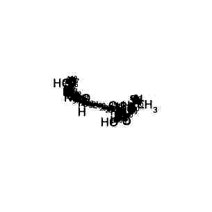 Cc1ncsc1-c1ccc(CNC(=O)[C@H]2C[C@H](O)CN2C(=O)C(NC(=O)CCCCCCCCCC(=O)NC2CCN(c3cc(-c4ccccc4O)nnc3N)CC2)C(C)(C)C)cc1